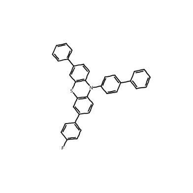 Fc1ccc(-c2ccc3c(c2)Sc2cc(-c4ccccc4)ccc2N3c2ccc(-c3ccccc3)cc2)cc1